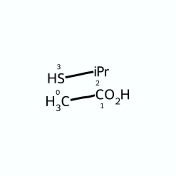 CC(=O)O.CC(C)S